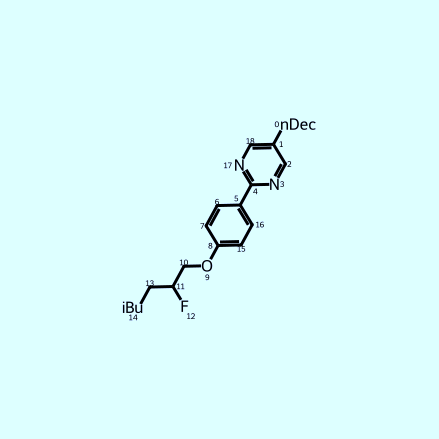 CCCCCCCCCCc1cnc(-c2ccc(OCC(F)CC(C)CC)cc2)nc1